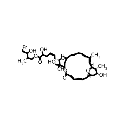 CC1=C\[C@H]2O[C@@H](C/C=C/C=C/C(=O)O[C@@H]3C[C@@H](/C=C/C\C=C\1)O[C@@H](C/C=C\CC(O)C(=O)OCC(C)C(O)CC(C)C)[C@]3(C)CO)C[C@H](O)[C@H]2C